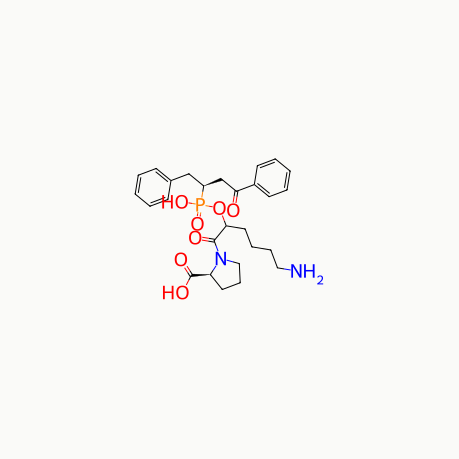 NCCCCC(OP(=O)(O)[C@H](CC(=O)c1ccccc1)Cc1ccccc1)C(=O)N1CCC[C@H]1C(=O)O